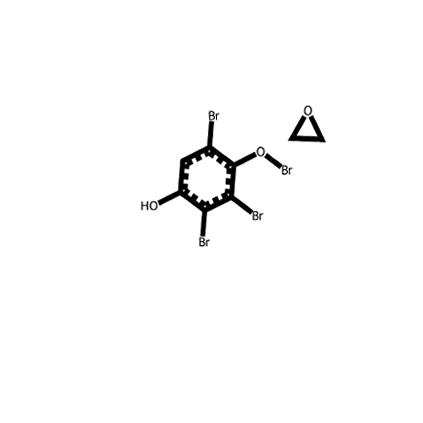 C1CO1.Oc1cc(Br)c(OBr)c(Br)c1Br